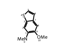 CNc1cc2sccc2cc1OC